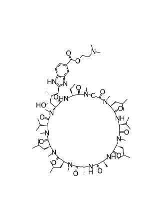 CC[C@@H]1NC(=O)[C@H]([C@H](O)[C@H](C)Cc2nc3cc(C(=O)OCCN(C)C)ccc3[nH]2)N(C)C(=O)[C@H](C(C)C)N(C)C(=O)[C@H](CC(C)C)N(C)C(=O)[C@H](CC(C)C)N(C)C(=O)[C@@H](C)NC(=O)[C@H](C)NC(=O)[C@H](CC(C)C)N(C)C(=O)[C@H](C(C)C)NC(=O)[C@H](CC(C)C)N(C)C(=O)CN(C)C1=O